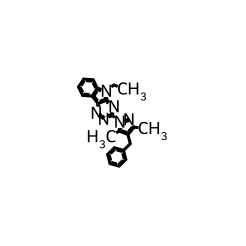 CCn1c2ccccc2c2nnc(-n3nc(C)c(Cc4ccccc4)c3C)nc21